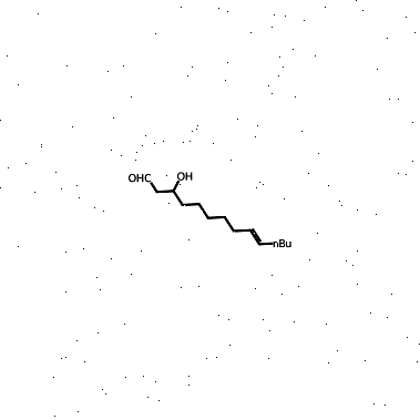 CCCCC=CCCCCCC(O)CC=O